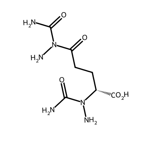 NC(=O)N(N)C(=O)CC[C@H](C(=O)O)N(N)C(N)=O